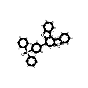 O=P(c1ccccc1)(c1ccccc1)c1ccc(-c2cc3oc4ccccc4c3c3c2oc2ccccc23)cc1